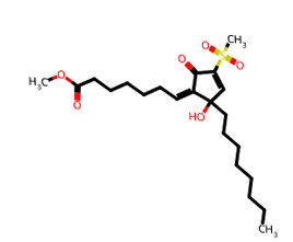 CCCCCCCCC1(O)C=C(S(C)(=O)=O)C(=O)/C1=C\CCCCCC(=O)OC